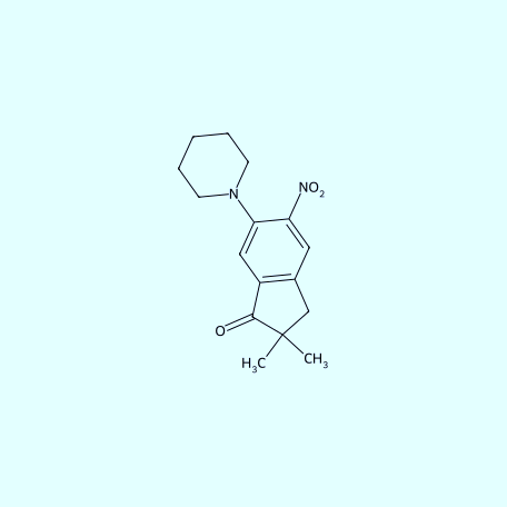 CC1(C)Cc2cc([N+](=O)[O-])c(N3CCCCC3)cc2C1=O